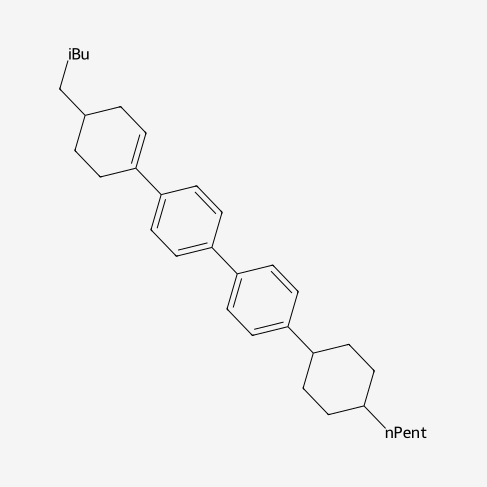 CCCCCC1CCC(c2ccc(-c3ccc(C4=CCC(CC(C)CC)CC4)cc3)cc2)CC1